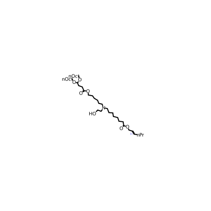 CCC/C=C/COC(=O)CCCCCCCN(CCO)CCCCCCOC(=O)CCC(OCCCCCCCC)OCCCCCCCC